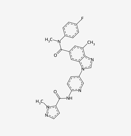 Cc1cc(C(=O)N(C)c2ccc(F)cc2)cc2c1ncn2-c1ccc(NC(=O)c2ccnn2C)nc1